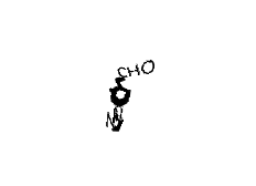 O=CC=Cc1ccc(-n2cccn2)cc1